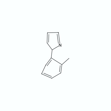 Cc1ccccc1C1C=CC=N1